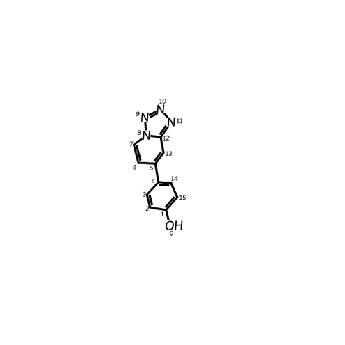 Oc1ccc(-c2ccn3nnnc3c2)cc1